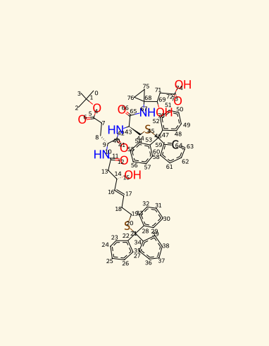 CC(C)(C)OC(=O)CC[C@@H](NC(=O)C[C@H](O)C=CCCSC(c1ccccc1)(c1ccccc1)c1ccccc1)C(=O)N[C@H](CSC(c1ccccc1)(c1ccccc1)c1ccccc1)C(=O)NC1(C(O)CC(=O)O)CC1